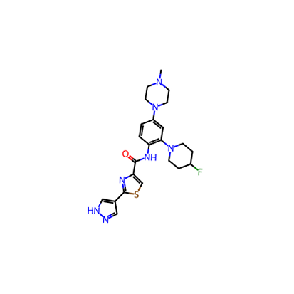 CN1CCN(c2ccc(NC(=O)c3csc(-c4cn[nH]c4)n3)c(N3CCC(F)CC3)c2)CC1